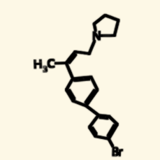 C/C(=C/CN1CCCC1)c1ccc(-c2ccc(Br)cc2)cc1